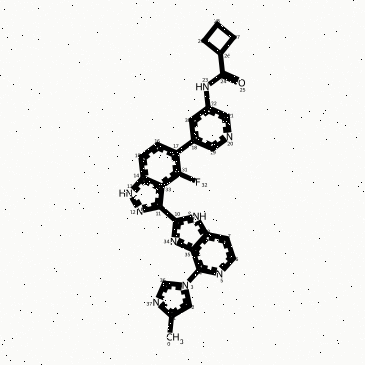 Cc1cn(-c2nccc3[nH]c(-c4n[nH]c5ccc(-c6cncc(NC(=O)C7CCC7)c6)c(F)c45)nc23)cn1